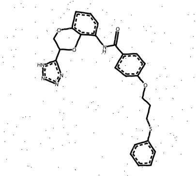 O=C(Nc1cccc2c1OC(c1nnn[nH]1)CO2)c1ccc(OCCCSc2ccccc2)cc1